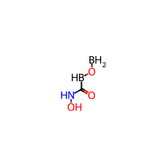 BOBC(=O)NO